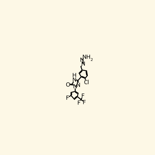 NN=NCc1ccc(Cl)c(-c2nn(-c3cc(F)cc(C(F)(F)F)c3)c(=O)[nH]2)c1